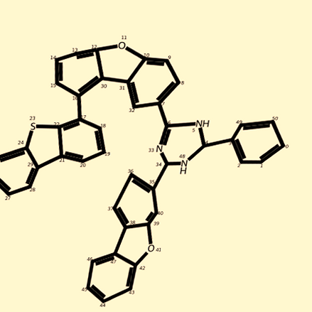 c1ccc(C2NC(c3ccc4oc5cccc(-c6cccc7c6sc6ccccc67)c5c4c3)=NC(c3ccc4c(c3)oc3ccccc34)N2)cc1